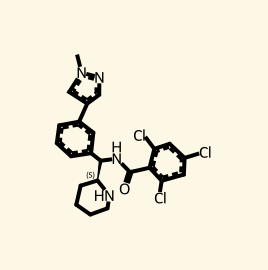 Cn1cc(-c2cccc(C(NC(=O)c3c(Cl)cc(Cl)cc3Cl)[C@@H]3CCCCN3)c2)cn1